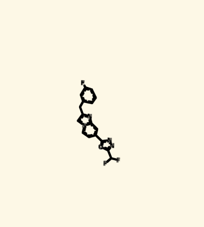 Fc1cccc(Cc2cn3ccc(-c4nnc(C(F)F)o4)cc3n2)c1